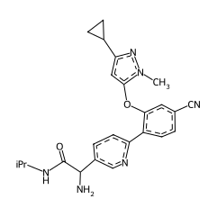 CC(C)NC(=O)C(N)c1ccc(-c2ccc(C#N)cc2Oc2cc(C3CC3)nn2C)nc1